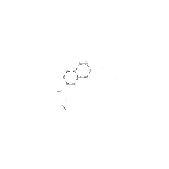 C=CCN(C)c1ccc2cc(C=O)c(OCOC)cc2c1